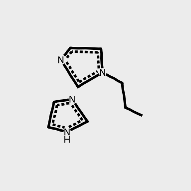 CCCn1ccnc1.c1c[nH]cn1